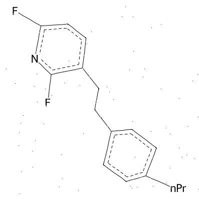 CCCc1ccc(CCc2ccc(F)nc2F)cc1